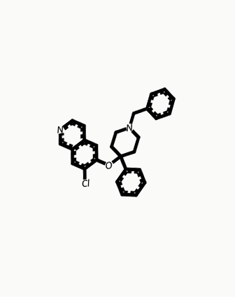 Clc1cc2cnccc2cc1OC1(c2ccccc2)CCN(Cc2ccccc2)CC1